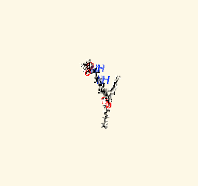 CCCCCCCCOC(=O)CC(CCCCC)CCCCCNCCCNC(=O)OC(C)(C)C